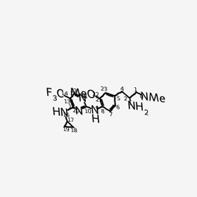 CNC[C@@H](N)Cc1ccc(Nc2ncc(C(F)(F)F)c(NC3CC3)n2)c(OC)c1